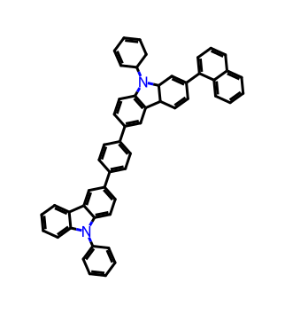 C1=CCC(N2c3ccc(-c4ccc(-c5ccc6c(c5)c5ccccc5n6-c5ccccc5)cc4)cc3C3C=CC(c4cccc5ccccc45)=CC32)C=C1